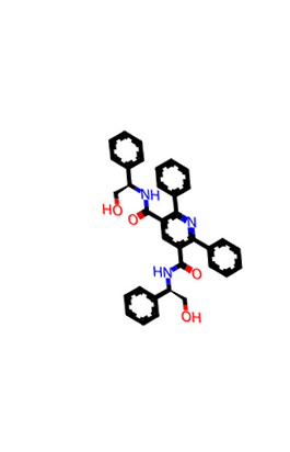 O=C(N[C@@H](CO)c1ccccc1)c1cc(C(=O)N[C@@H](CO)c2ccccc2)c(-c2ccccc2)nc1-c1ccccc1